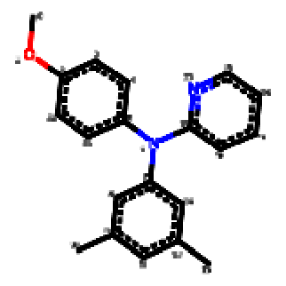 COc1ccc(N(c2cc(C)cc(C)c2)c2ccccn2)cc1